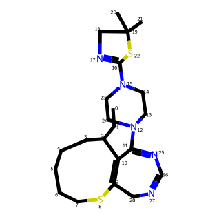 CCC1CCCCCSC2=C1C(N1CCN(C3=NCC(C)(C)S3)CC1)=NC=NC2